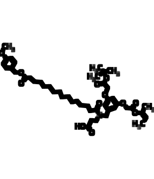 C/C=C(/C)OC(=O)COc1cc(CN(CCC(=O)O)C(=O)CCCCCCCCCCCCCCC(=O)OCc2ccc(OC)cc2)cc(OCC(=O)OC(C)(C)C)c1